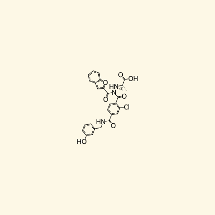 C[C@H](NN(C(=O)c1cc2ccccc2o1)C(=O)c1ccc(C(=O)NCc2cccc(O)c2)cc1Cl)C(=O)O